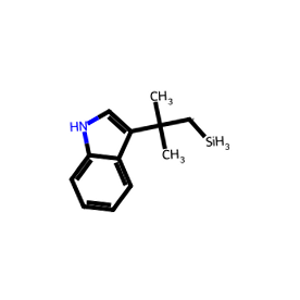 CC(C)([CH][SiH3])c1c[nH]c2ccccc12